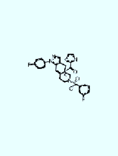 O=C(c1nccs1)[C@]12Cc3cnn(-c4ccc(F)cc4)c3C=C1CCN(S(=O)(=O)c1cccc(F)c1)C2